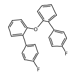 Fc1ccc(-c2ccccc2Oc2ccccc2-c2ccc(F)cc2)cc1